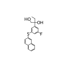 CCC(O)(CO)c1cc(F)cc(Sc2ccc3ccccc3c2)c1